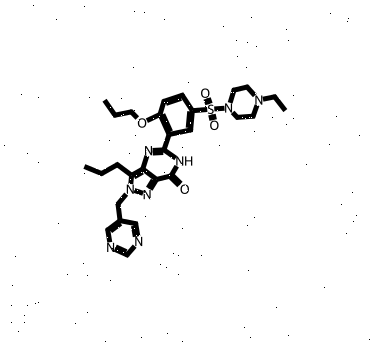 CCCOc1ccc(S(=O)(=O)N2CCN(CC)CC2)cc1-c1nc2c(CCC)n(Cc3cncnc3)nc2c(=O)[nH]1